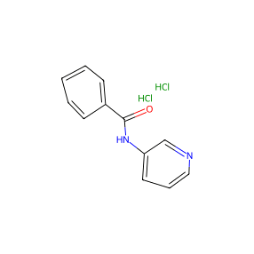 Cl.Cl.O=C(Nc1cccnc1)c1ccccc1